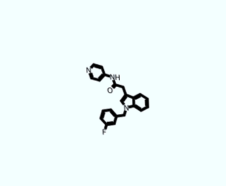 O=C(Cc1cn(Cc2cccc(F)c2)c2ccccc12)Nc1ccncc1